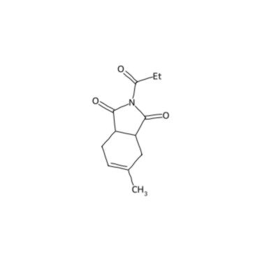 CCC(=O)N1C(=O)C2CC=C(C)CC2C1=O